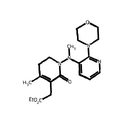 CCOC(=O)CC1=C(C)CCN(N(C)c2cccnc2N2CCOCC2)C1=O